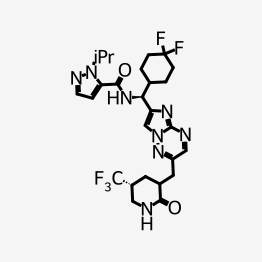 CC(C)n1nccc1C(=O)N[C@H](c1cn2nc(CC3C[C@@H](C(F)(F)F)CNC3=O)cnc2n1)C1CCC(F)(F)CC1